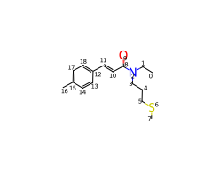 CCN(CCCSC)C(=O)C=Cc1ccc(C)cc1